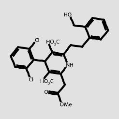 COC(=O)CC1=C(C(=O)O)C(c2c(Cl)cccc2Cl)C(C(=O)O)=C(CCc2ccccc2CO)N1